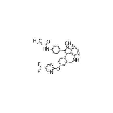 C=CC(=O)Nc1ccc(-c2c3c4c(ncnc4n2C)NCc2cc(Oc4ncc(C(F)F)cn4)ccc2-3)cc1